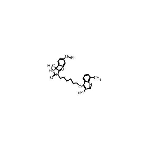 CCCc1cnc2c(C)cccc2c1OCCCCCCN1C(=O)NC(C)(c2ccc(OC(C)C)cc2)C1=O